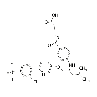 CC(C)CC(COc1ccc(-c2ccc(C(F)(F)F)cc2Cl)nc1)Nc1ccc(C(=O)NCCC(=O)O)cc1